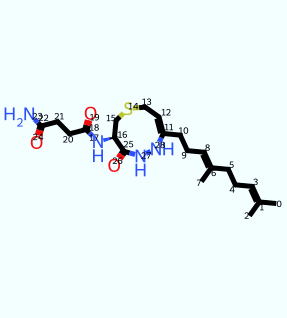 CC(C)=CCC/C(C)=C/CC/C1=C/CSC[C@H](NC(=O)CCC(N)=O)C(=O)NN1